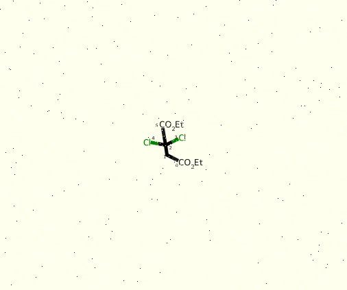 CCOC(=O)CC(Cl)(Cl)C(=O)OCC